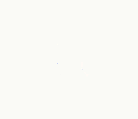 CN1CCC(N2CC(C)(C)c3ccc([N+](=O)[O-])cc32)CC1